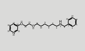 c1ccc(CNCCCCCCOCCOc2cccnc2)cc1